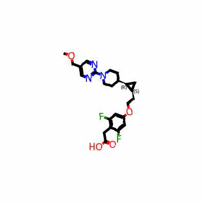 COCc1cnc(N2CCC([C@H]3C[C@H]3CCOc3cc(F)c(CC(=O)O)c(F)c3)CC2)nc1